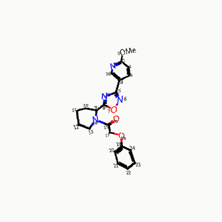 COc1ccc(-c2noc(C3CCCCN3C(=O)COc3ccccc3)n2)cn1